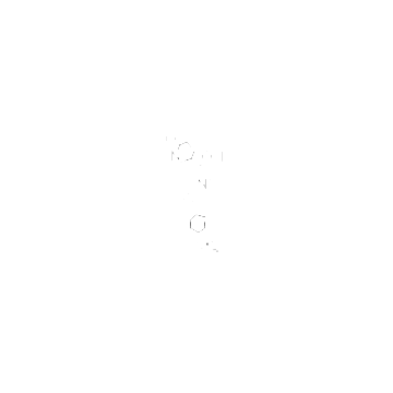 COc1ccc(C2(O)CCN(CC(O)c3cc(C)c(O[Si](C(C)C)(C(C)C)C(C)C)cc3C)CC2)cn1